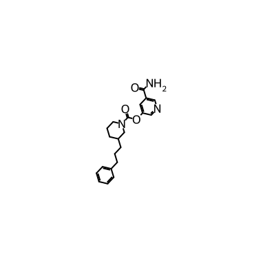 NC(=O)c1cncc(OC(=O)N2CCCC(CCCc3ccccc3)C2)c1